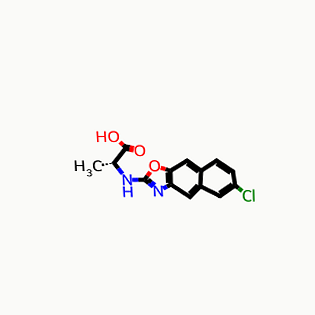 C[C@@H](Nc1nc2cc3cc(Cl)ccc3cc2o1)C(=O)O